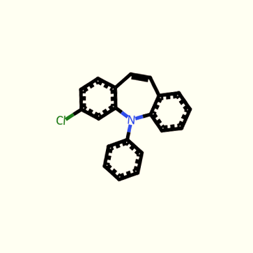 Clc1ccc2c(c1)N(c1ccccc1)c1ccccc1C=C2